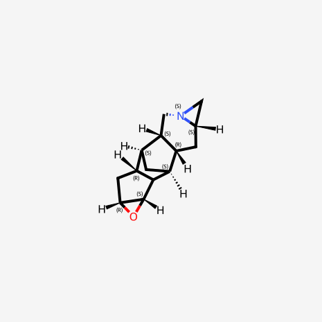 C1[C@H]2[C@@H](C[N@]3C[C@H]13)[C@H]1C[C@@H]2C2[C@@H]1C[C@H]1O[C@@H]21